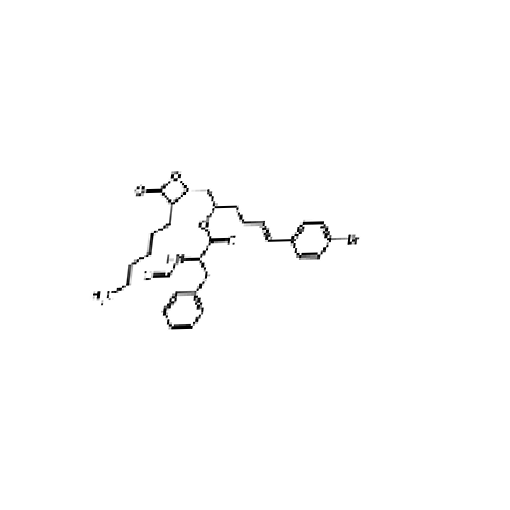 CCCCCCC1C(=O)OC1CC(CCC=Cc1ccc(Br)cc1)OC(=O)C(Cc1ccccc1)NC=O